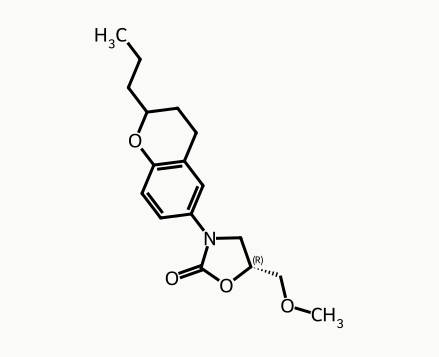 CCCC1CCc2cc(N3C[C@H](COC)OC3=O)ccc2O1